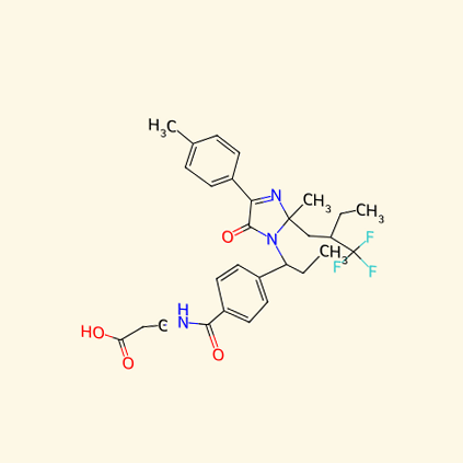 CCC(c1ccc(C(=O)NCCC(=O)O)cc1)N1C(=O)C(c2ccc(C)cc2)=NC1(C)CC(CC)C(F)(F)F